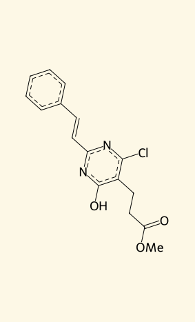 COC(=O)CCc1c(O)nc(/C=C/c2ccccc2)nc1Cl